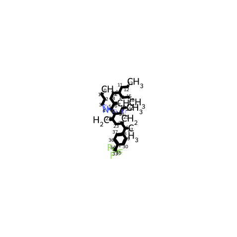 C=CC\C=N/C(C(=C)CCC(CCC)CCC)=C(/C=C/C)C(=C)CC(=C)C(C)c1ccc(C(F)(F)F)cc1